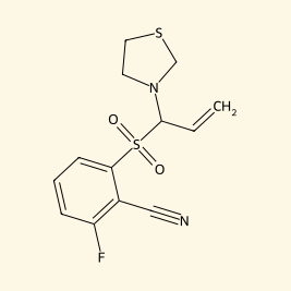 C=CC(N1CCSC1)S(=O)(=O)c1cccc(F)c1C#N